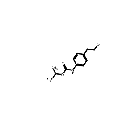 CC(C)OC(=O)Nc1ccc(CC[O])cc1